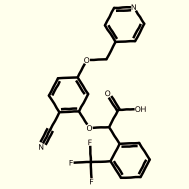 N#Cc1ccc(OCc2ccncc2)cc1OC(C(=O)O)c1ccccc1C(F)(F)F